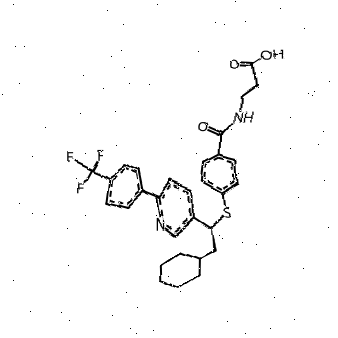 O=C(O)CCNC(=O)c1ccc(S[C@@H](CC2CCCCC2)c2ccc(-c3ccc(C(F)(F)F)cc3)nc2)cc1